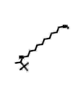 CC(NCCCCCCCCCCN)C(C)(C)C